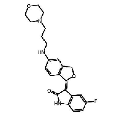 O=C1Nc2ccc(F)cc2C1=C1OCc2cc(NCCCN3CCOCC3)ccc21